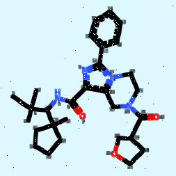 CC(C)(C)C(NC(=O)c1nc(-c2ccccc2)n2c1CN(C(=O)C1CCOC1)CC2)C1(C)CCCC1